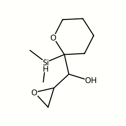 C[SiH](C)C1(C(O)C2CO2)CCCCO1